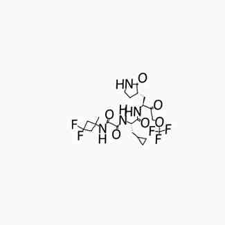 CC1(NC(=O)C(=O)N[C@@H](CC2CC2)C(=O)N[C@@H](C[C@@H]2CCNC2=O)C(=O)COC(F)(F)F)CC(F)(F)C1